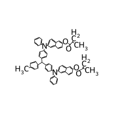 C=C(C)C(=O)Oc1ccc2cc(N(c3ccccc3)c3ccc(C(c4ccc(C)cc4)c4ccc(N(c5ccccc5)c5ccc6cc(OC(=O)C(=C)C)ccc6c5)cc4)cc3)ccc2c1